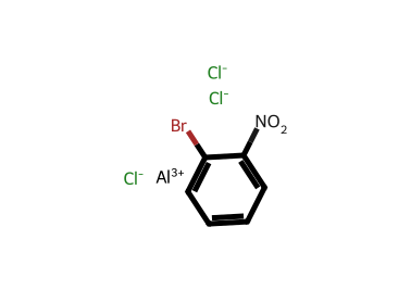 O=[N+]([O-])c1ccccc1Br.[Al+3].[Cl-].[Cl-].[Cl-]